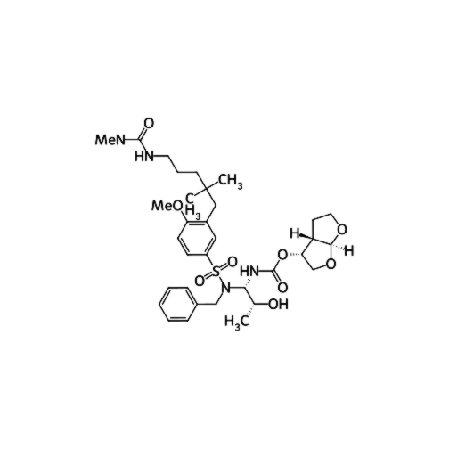 CNC(=O)NCCCC(C)(C)Cc1cc(S(=O)(=O)N(Cc2ccccc2)[C@H](NC(=O)O[C@H]2CO[C@@H]3OCC[C@H]32)[C@@H](C)O)ccc1OC